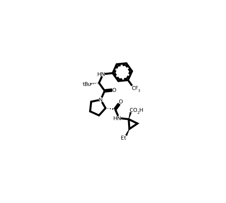 CC[C@@H]1C[C@]1(NC(=O)[C@@H]1CCCN1C(=O)[C@@H](Nc1cccc(C(F)(F)F)c1)C(C)(C)C)C(=O)O